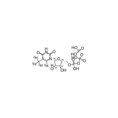 [2H]c1c(C([2H])([2H])[2H])c(=O)[nH]c(=O)n1[C@@H]1O[C@H](COP(=O)(O)OP(=O)(O)OP(=O)(O)O)[C@@H](O)[C@H]1O